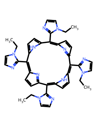 CCn1ccnc1-c1c2nc(c(-c3nccn3CC)c3ccc([nH]3)c(-c3nccn3CC)c3nc(c(-c4nccn4CC)c4ccc1[nH]4)C=C3)C=C2